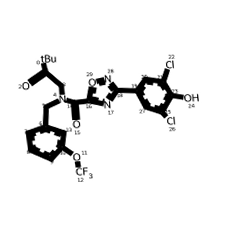 CC(C)(C)C(=O)CN(Cc1cccc(OC(F)(F)F)c1)C(=O)c1nc(-c2cc(Cl)c(O)c(Cl)c2)no1